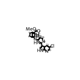 COC(=O)[C@H]1C2CCC(CC2)[C@@H]1Nc1nc(-c2c[nH]c3ncc(Cl)cc23)ncc1F